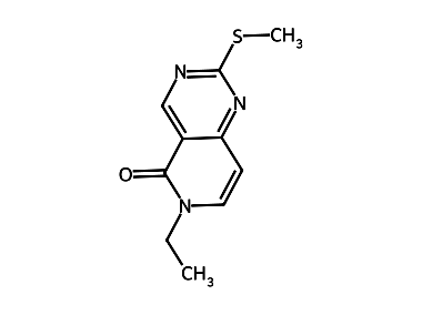 CCn1ccc2nc(SC)ncc2c1=O